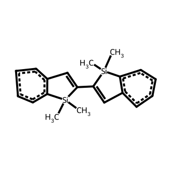 C[Si]1(C)C(C2=Cc3ccccc3[Si]2(C)C)=Cc2ccccc21